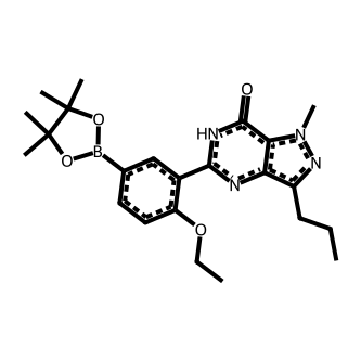 CCCc1nn(C)c2c(=O)[nH]c(-c3cc(B4OC(C)(C)C(C)(C)O4)ccc3OCC)nc12